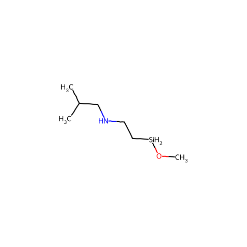 CO[SiH2]CCNCC(C)C